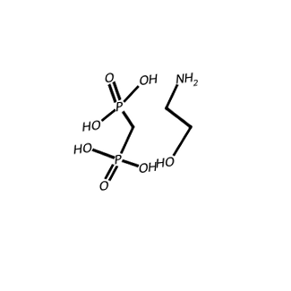 NCCO.O=P(O)(O)CP(=O)(O)O